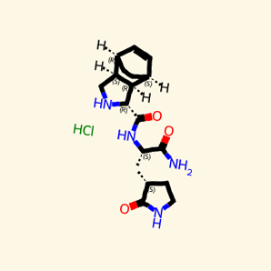 Cl.NC(=O)[C@H](C[C@@H]1CCNC1=O)NC(=O)[C@@H]1NC[C@@H]2[C@H]1[C@@H]1C=C[C@H]2CC1